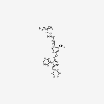 Cc1cc(OCc2cnc(SC3C=CCCC3)n2-c2cccnc2)ccc1C#CCNCCN(C)C